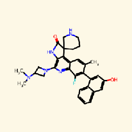 Cc1cc2c3c(c(N4CC(N(C)C)C4)nc2c(F)c1-c1cc(O)cc2ccccc12)NC(=O)C31CCCNC1